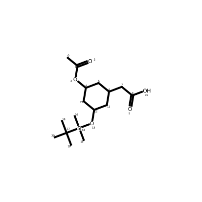 CC(=O)OC1CC(CC(=O)O)CC(O[Si](C)(C)C(C)(C)C)C1